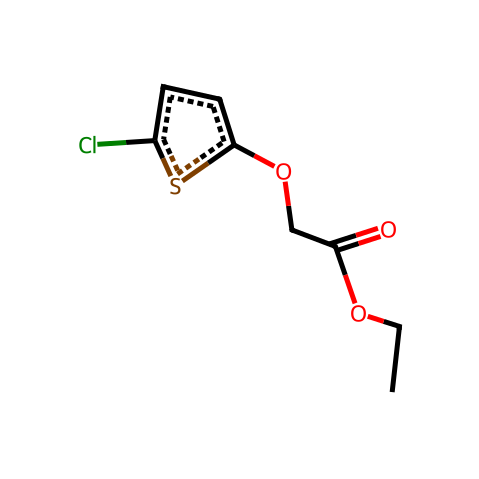 CCOC(=O)COc1ccc(Cl)s1